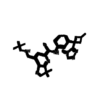 CC1CC(c2cccc(NC(=O)c3cc(CNCC(C)(C)C)c4c(n3)C(C)(C)CO4)c2)(c2nncn2C)C1